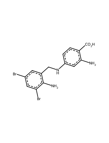 Nc1cc(NCc2cc(Br)cc(Br)c2N)ccc1C(=O)O